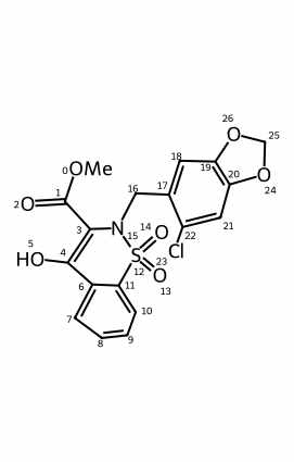 COC(=O)C1=C(O)c2ccccc2S(=O)(=O)N1Cc1cc2c(cc1Cl)OCO2